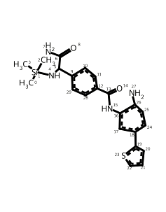 C[Si](C)(C)NC(C(N)=O)c1ccc(C(=O)Nc2cc(-c3cccs3)ccc2N)cc1